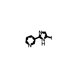 Ic1cnc(-c2cccnc2)[nH]1